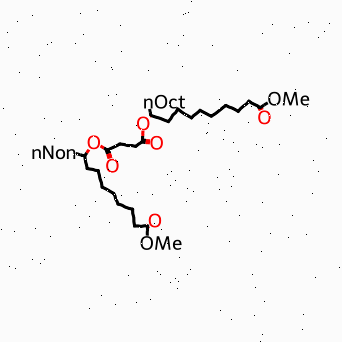 CCCCCCCCCC(CCCCCCCC(=O)OC)OC(=O)CCC(=O)OC(CCCCCCCC)CCCCCCCCC(=O)OC